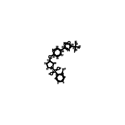 O=S(=O)(c1ccccc1F)N1CCC(Oc2ccc(-c3noc(C(F)(F)F)n3)cn2)C1